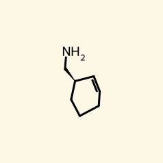 NC[C@H]1C=CCCC1